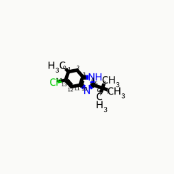 CC1Cc2[nH]c(C(C)(C)C)nc2C=C1Cl